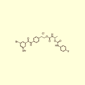 CCC[n+]1cc(Br)cc(C(=O)Nc2ccc(CCOC(=O)NC(C)OC(=O)Nc3ccc(F)cc3)cc2)c1.[Cl-]